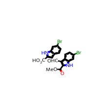 COC(=O)c1[nH]c2cc(Br)ccc2c1C=O.O=C(O)c1cc2ccc(Br)cc2[nH]1